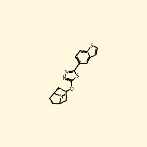 CN1C2CCC1CC(Oc1nnc(-c3ccc4sccc4c3)s1)C2